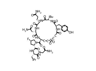 CC[C@H](C)[C@@H]1NC(=O)[C@@H](Cc2ccc(O)cc2)NC(=O)CCS(=O)(=O)CC[C@@H](C(=O)N2C[C@H](F)C[C@H]2C(=O)N[C@@H](CC(C)C)C(=O)NCC(N)=O)NC(=O)[C@H](CC(N)=O)NC(=O)[C@H](CCC(N)=O)NC1=O